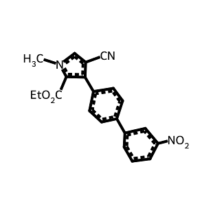 CCOC(=O)c1c(-c2ccc(-c3cccc([N+](=O)[O-])c3)cc2)c(C#N)cn1C